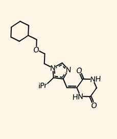 CC(C)c1c(C=C2NC(=O)CNC2=O)ncn1CCOCC1CCCCC1